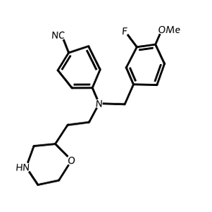 COc1ccc(CN(CCC2CNCCO2)c2ccc(C#N)cc2)cc1F